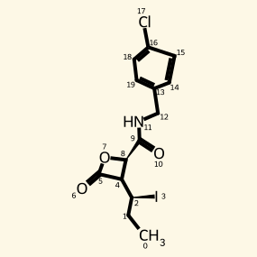 CC[C@H](I)C1C(=O)O[C@H]1C(=O)NCc1ccc(Cl)cc1